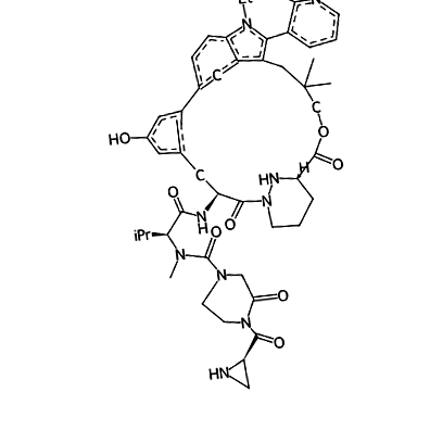 CCn1c(-c2cccnc2C(C)C)c2c3cc(ccc31)-c1cc(O)cc(c1)C[C@H](NC(=O)[C@H](C(C)C)N(C)C(=O)N1CCN(C(=O)[C@H]3CN3)C(=O)C1)C(=O)N1CCC[C@H](N1)C(=O)OCC(C)(C)C2